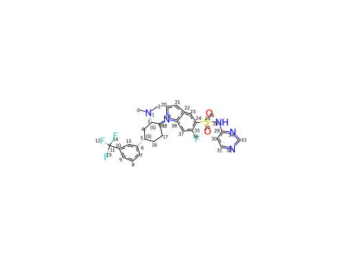 CN(C)[C@H]1C[C@@H](c2cccc(C(F)(F)F)c2)CC[C@@H]1n1ccc2cc(S(=O)(=O)Nc3ccncn3)c(F)cc21